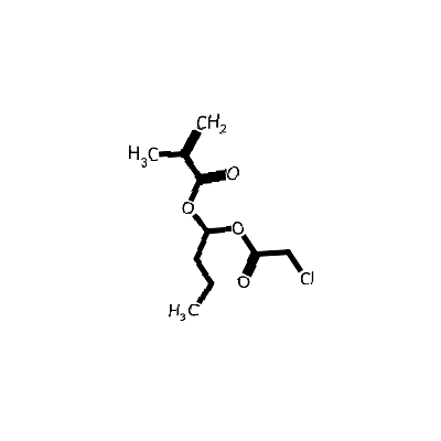 C=C(C)C(=O)OC(CCC)OC(=O)CCl